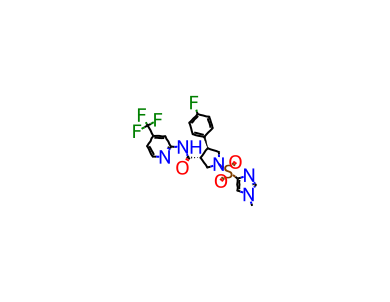 Cn1cnc(S(=O)(=O)N2C[C@H](C(=O)Nc3cc(C(F)(F)F)ccn3)[C@@H](c3ccc(F)cc3)C2)c1